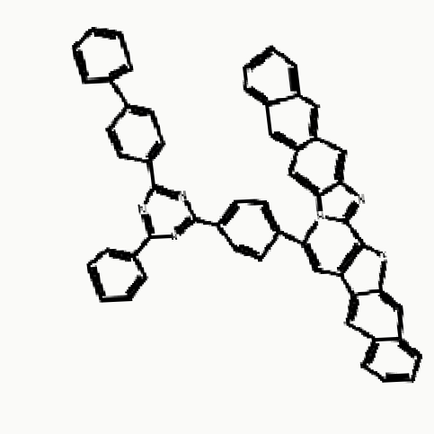 c1ccc(-c2ccc(-c3nc(-c4ccccc4)nc(-c4ccc(-c5cc6c7cc8ccccc8cc7sc6c6nc7cc8cc9ccccc9cc8cc7n56)cc4)n3)cc2)cc1